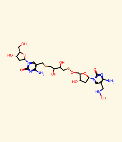 Nc1nc(=O)n([C@H]2C[C@H](O)[C@@H](CO)O2)cc1CSCC(O)C(O)CSOC[C@H]1O[C@@H](n2cc(CNO)c(N)nc2=O)C[C@@H]1O